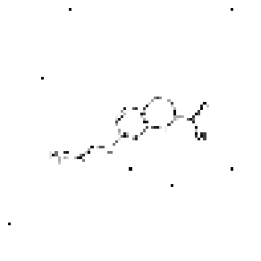 CSCOc1ccc2c(c1)CN(C(=O)O)CC2